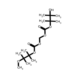 COC(C)(C)C(C)(C)OC(=O)OCOC(=O)OC(C)(C)C(C)(C)O